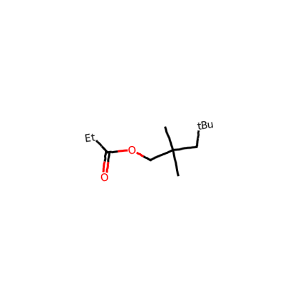 CCC(=O)OCC(C)(C)CC(C)(C)C